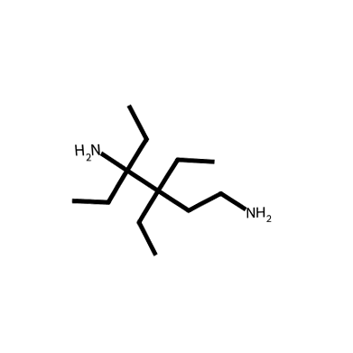 CCC(N)(CC)C(CC)(CC)CCN